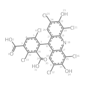 O=C(O)c1cc(Cl)c(-c2c3cc(Cl)c(O)c(Cl)c3nc3c(Cl)c(O)c(Cl)cc23)c(C(=O)O)c1Cl